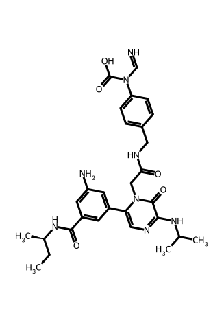 CC[C@@H](C)NC(=O)c1cc(N)cc(-c2cnc(NC(C)C)c(=O)n2CC(=O)NCc2ccc(N(C=N)C(=O)O)cc2)c1